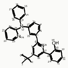 CC(C)(C)c1cc(-c2cccc(N(c3ccccc3)c3ccccn3)c2)nc(-c2ccccc2O)c1